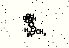 CC(C)CC(C)(C)Cc1ccc(OP(=O)(O)O)cc1